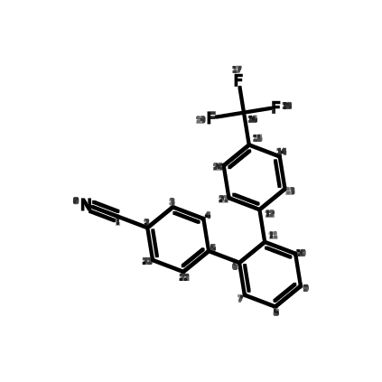 N#Cc1ccc(-c2ccccc2-c2ccc(C(F)(F)F)cc2)cc1